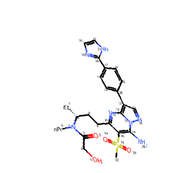 CCCN(C(=O)CO)[C@H](CC)CCc1nc2c(-c3ccc(-c4ncc[nH]4)cc3)cnn2c(N)c1S(C)(=O)=O